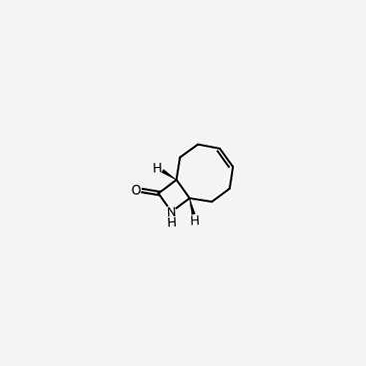 O=C1N[C@H]2CC/C=C\CC[C@@H]12